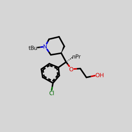 CCC[C@](OCCO)(c1cccc(Cl)c1)[C@@H]1CCCN(C(C)(C)C)C1